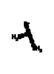 Bc1ccc(-c2ccc(C(C)(C)c3ccc(C(C)(c4ccc(-c5ccc(B)cc5)cc4)c4ccc(-c5ccc(Br)cc5)cc4)cc3)cc2)cc1